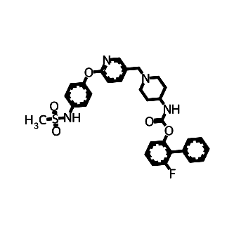 CS(=O)(=O)Nc1ccc(Oc2ccc(CN3CCC(NC(=O)Oc4cccc(F)c4-c4ccccc4)CC3)cn2)cc1